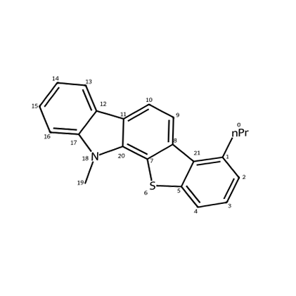 CCCc1cccc2sc3c(ccc4c5ccccc5n(C)c43)c12